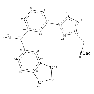 CCCCCCCCCCCc1noc(-c2cccc(C([NH])c3ccc4c(c3)OCO4)c2)n1